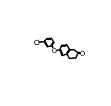 O=C1CCc2cc(Oc3cccc(Cl)c3)ccc2C1